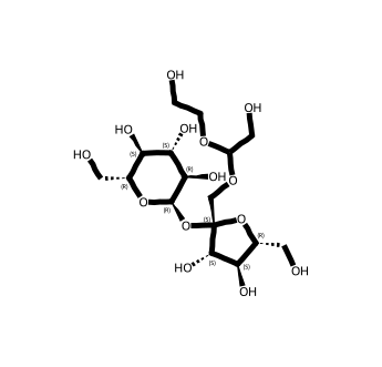 OCCOC(CO)OC[C@@]1(O[C@H]2O[C@H](CO)[C@@H](O)[C@H](O)[C@H]2O)O[C@H](CO)[C@@H](O)[C@@H]1O